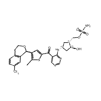 Cc1sc(C(=O)c2cncnc2N[C@@H]2C[C@H](COS(N)(=O)=O)[C@@H](O)C2)cc1C1OCCc2ccc(C(F)(F)F)cc21